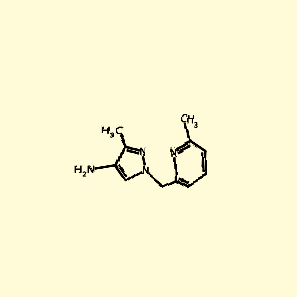 Cc1cccc(Cn2cc(N)c(C)n2)n1